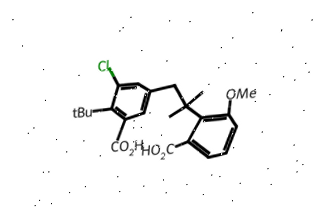 COc1cccc(C(=O)O)c1C(C)(C)Cc1cc(Cl)c(C(C)(C)C)c(C(=O)O)c1